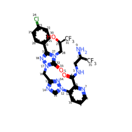 NC(CNC(=O)c1ncccc1-n1cnc(Cn2nc(-c3ccc(Cl)cc3)n(C[C@@H](O)C(F)(F)F)c2=O)n1)C(F)(F)F